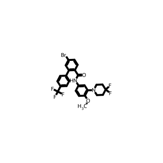 COc1ccc(NC(=O)c2ccc(Br)cc2-c2ccc(C(F)(F)F)cc2)cc1N1CCC(F)(F)CC1